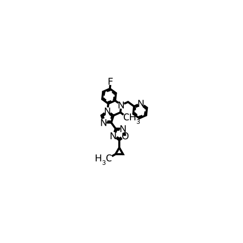 CC1CC1c1nc(-c2ncn3c2C(C)N(Cc2ccccn2)c2cc(F)ccc2-3)no1